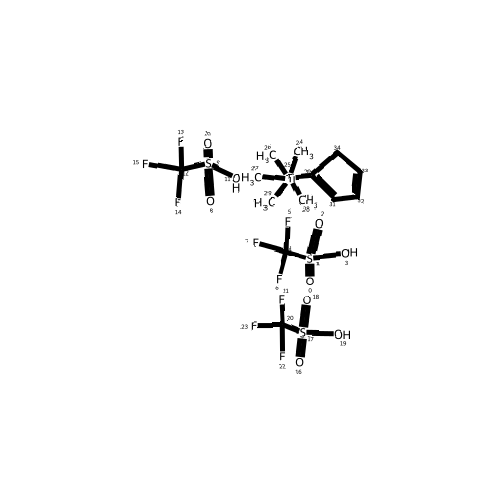 O=S(=O)(O)C(F)(F)F.O=S(=O)(O)C(F)(F)F.O=S(=O)(O)C(F)(F)F.[CH3][Ti]([CH3])([CH3])([CH3])([CH3])[C]1=CC=CC1